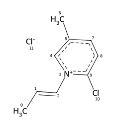 CC=C[n+]1cc(C)ccc1Cl.[Cl-]